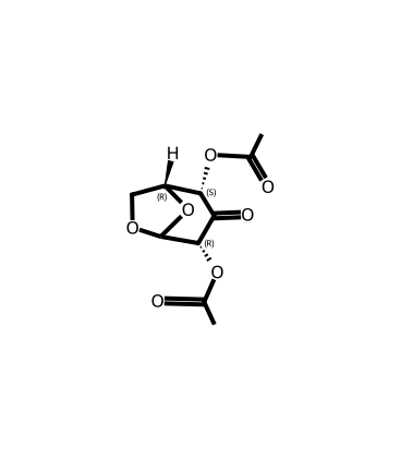 CC(=O)O[C@@H]1C(=O)[C@H](OC(C)=O)C2OC[C@H]1O2